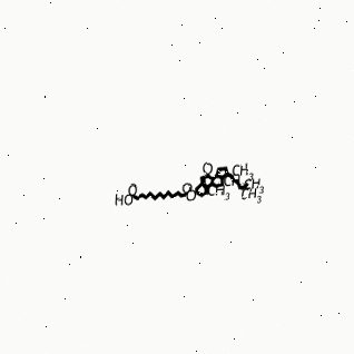 CC(C)CCCC(C)C1CCC2C3C(=O)C=C4CC(OC(=O)CCCCCCCCCCCC(=O)O)CCC4(C)C3CCC12C